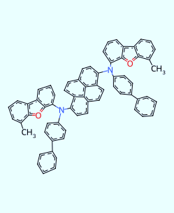 Cc1cccc2c1oc1c(N(c3ccc(-c4ccccc4)cc3)c3ccc4ccc5c(N(c6ccc(-c7ccccc7)cc6)c6cccc7c6oc6c(C)cccc67)ccc6ccc3c4c65)cccc12